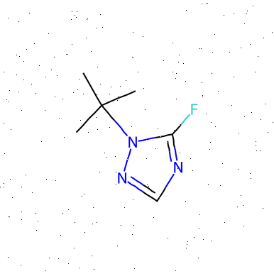 CC(C)(C)n1ncnc1F